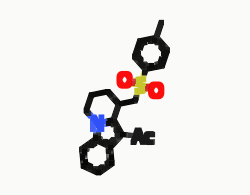 CC(=O)c1c2n(c3ccccc13)CCCC2CS(=O)(=O)c1ccc(C)cc1